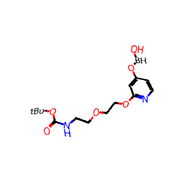 CC(C)(C)OC(=O)NCCOCCOc1cc(OBO)ccn1